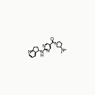 CN(C)C1CCN(C(=O)c2cnc(N[C@@H]3CCc4ncccc43)nc2)C1